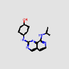 CC(C)Nc1nccc2cnc(NC3CCC(O)CC3)nc12